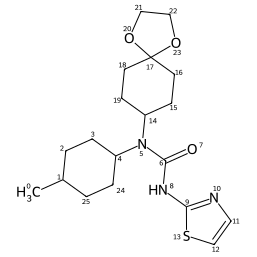 CC1CCC(N(C(=O)Nc2nccs2)C2CCC3(CC2)OCCO3)CC1